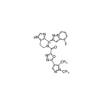 Cc1c(-c2nnc(C(=O)N3CCc4[nH]cnc4[C@H]3c3cc4c(F)cccn4n3)o2)cnn1C